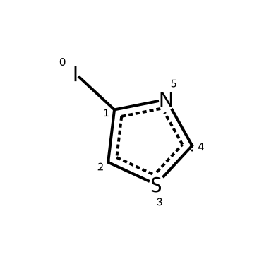 Ic1cs[c]n1